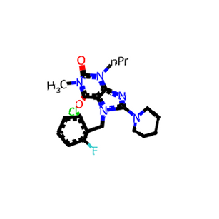 CCCn1c(=O)n(C)c(=O)c2c1nc(N1CCCCC1)n2Cc1c(F)cccc1Cl